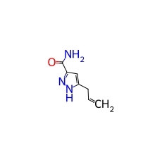 C=CCc1cc(C(N)=O)n[nH]1